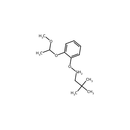 COC(C)Oc1ccccc1O[SiH2]CC(C)(C)C